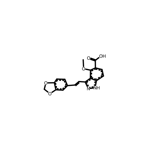 COc1c(C(=O)O)ccc2[nH]nc(/C=C/c3ccc4c(c3)OCO4)c12